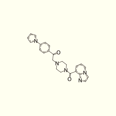 O=C(CN1CCN(C(=O)c2cccn3ccnc23)CC1)c1ccc(-n2cccc2)cc1